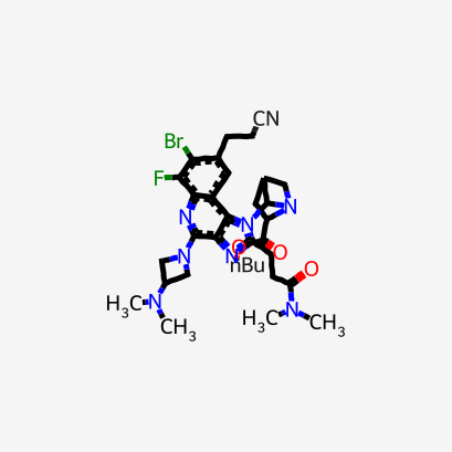 CCCCOC(=O)C1CC2CN1C2n1c(CCC(=O)N(C)C)nc2c(N3CC(N(C)C)C3)nc3c(F)c(Br)c(CCC#N)cc3c21